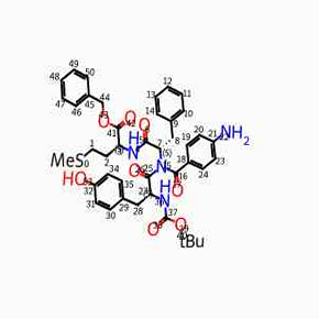 CSCC[C@H](NC(=O)[C@H](Cc1ccccc1)N(C(=O)c1ccc(N)cc1)C(=O)[C@H](Cc1ccc(O)cc1)NC(=O)OC(C)(C)C)C(=O)OCc1ccccc1